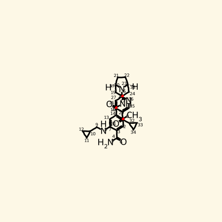 Cc1cc(C(N)=O)c(NCC2CC2)cc1C(=O)N[C@H]1C[C@H]2CC[C@@H](C1)N2c1ccc(C(=O)C2CC2)cn1